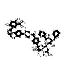 CC(C)C[C@H](NC(O)[C@H](Cc1ccccc1)NC(=O)c1cnccn1)B1OC(C)(C)C(C)(c2ccc(C(=O)N3CCN(c4ccc(-n5c(O)nnc5-c5cc(C(C)C)c(O)cc5O)cc4)CC3)cc2)O1